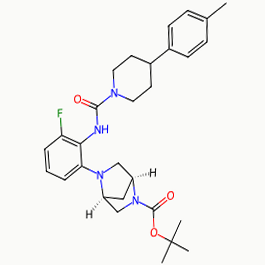 Cc1ccc(C2CCN(C(=O)Nc3c(F)cccc3N3C[C@@H]4C[C@H]3CN4C(=O)OC(C)(C)C)CC2)cc1